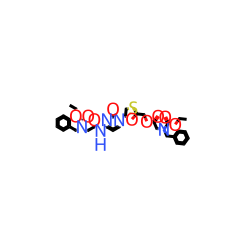 CCOC(=O)N(CC(=O)Nc1ccn(C2CSC(COC(=O)CN(Cc3ccccc3)C(=O)OCC)O2)c(=O)n1)Cc1ccccc1